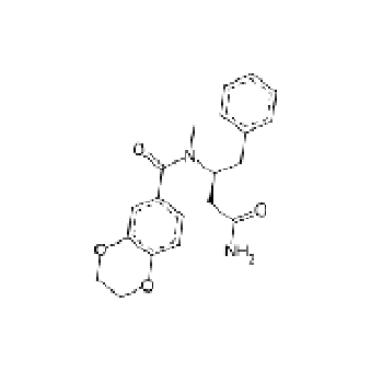 CN(C(=O)c1ccc2c(c1)OCCO2)[C@H](CC(N)=O)Cc1ccccc1